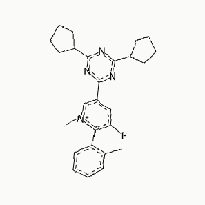 Cc1ccccc1-c1c(F)cc(-c2nc(C3CCCC3)nc(C3CCCC3)n2)c[n+]1C